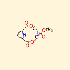 CC(C)(C)OC(=O)N1CCOC(=O)Cc2cccc(n2)CC(=O)OCC1